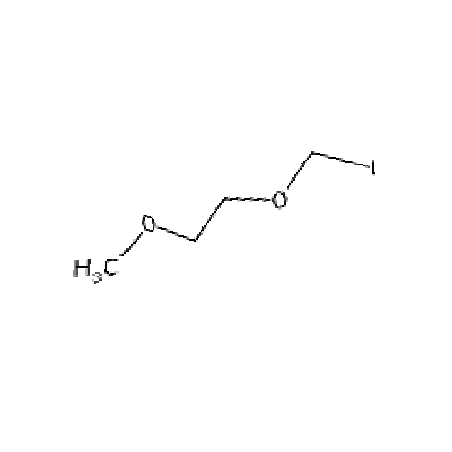 COCCOCI